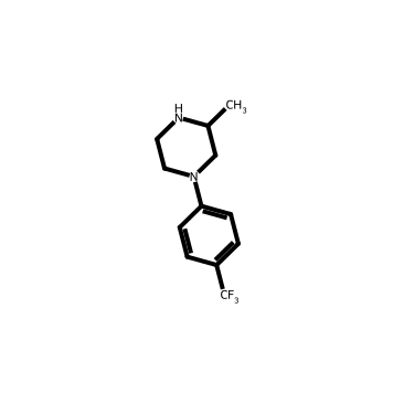 CC1CN(c2ccc(C(F)(F)F)cc2)CCN1